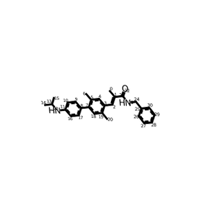 C/C(=C\c1cc(C)c(-c2ccc(NC(C)C)cc2)cc1C)C(=O)NCc1ccccc1